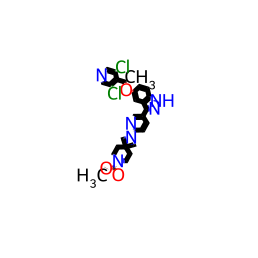 COC(=O)N1CCC2(CC1)CN(c1ccc(-c3n[nH]c4ccc(O[C@H](C)c5c(Cl)cncc5Cl)cc34)cn1)C2